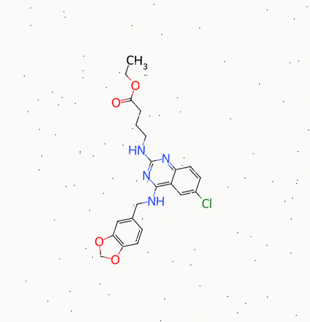 CCOC(=O)CCCNc1nc(NCc2ccc3c(c2)OCO3)c2cc(Cl)ccc2n1